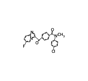 CN(C(=O)c1ccc(C(=O)c2cnc3ccc(F)cn23)cc1)c1ccc(Cl)cc1